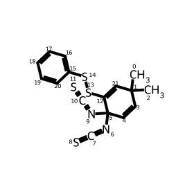 CC1(C)C=CC(N=C=S)(N=C=S)C(SSc2ccccc2)=C1